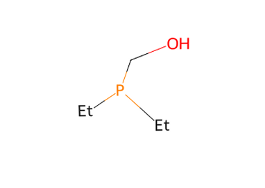 CCP(CC)CO